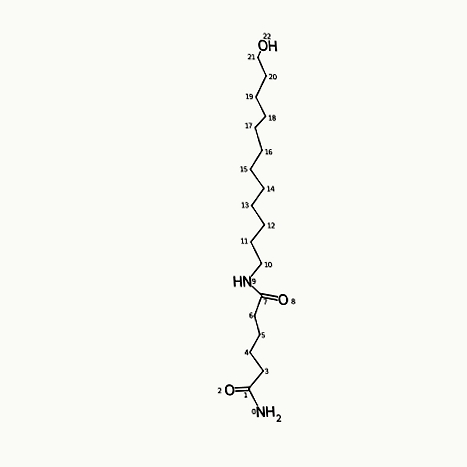 NC(=O)CCCCC(=O)NCCCCCCCCCCCCO